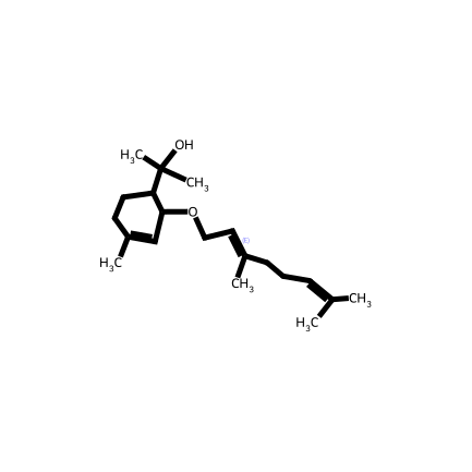 CC(C)=CCC/C(C)=C/COC1C=C(C)CCC1C(C)(C)O